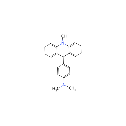 CN(C)c1ccc(C2c3ccccc3N(C)c3ccccc32)cc1